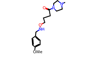 COc1ccc(CNOCCCC(=O)N2CCN(C)CC2)cc1